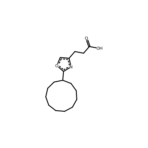 O=C(O)CCc1coc(C2CCCCCCCCCC2)n1